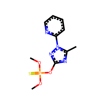 COP(=S)(OC)Oc1nc(C)n(-c2ccccn2)n1